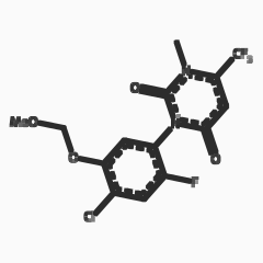 COCOc1cc(-n2c(=O)cc(C(F)(F)F)n(C)c2=O)c(F)cc1Cl